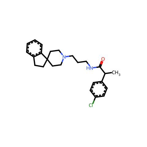 CC(C(=O)NCCCN1CCC2(CCc3ccccc32)CC1)c1ccc(Cl)cc1